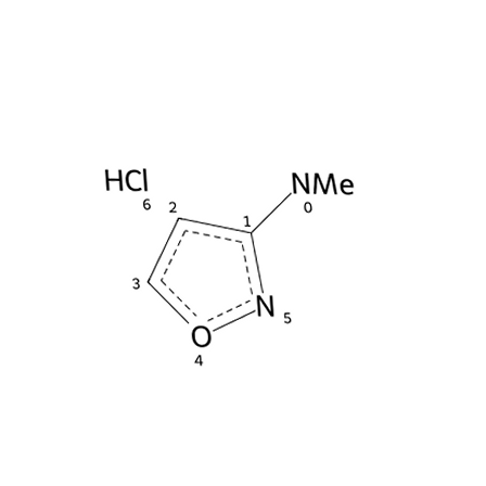 CNc1ccon1.Cl